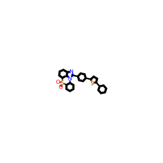 O=S1(=O)c2ccccc2-n2c(-c3ccc(-c4ccc(-c5ccccc5)s4)cc3)nc3cccc1c32